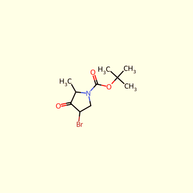 CC1C(=O)C(Br)CN1C(=O)OC(C)(C)C